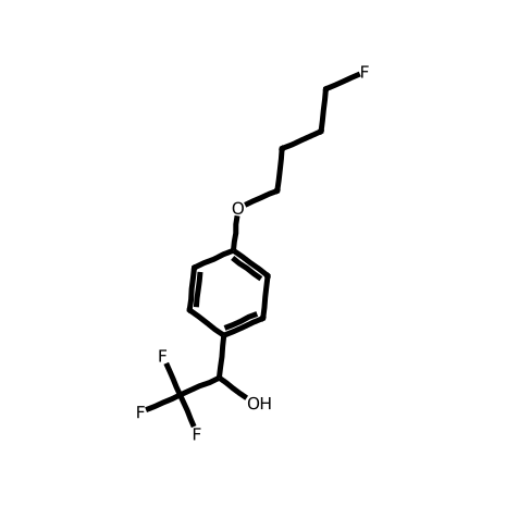 OC(c1ccc(OCCCCF)cc1)C(F)(F)F